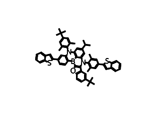 Cc1cc(C(C)(C)C)cc(C)c1N1c2cc(-c3cc4ccccc4s3)ccc2B2c3oc4ccc(C(C)(C)C)cc4c3N(c3c(C)cc(-c4cc5ccccc5s4)cc3C)c3cc(C(C)C)cc1c32